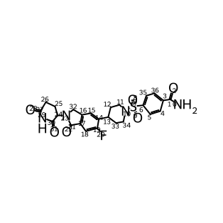 NC(=O)c1ccc(S(=O)(=O)N2CCC(c3cc4c(cc3F)C(=O)N(C3CCC(=O)NC3=O)C4)CC2)cc1